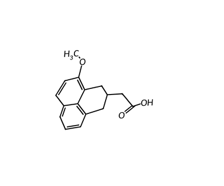 COc1ccc2cccc3c2c1CC(CC(=O)O)C3